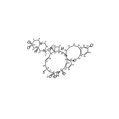 CO[C@]1(CN2CCN3CCS(=O)(=O)C[C@H]3C2)/C=C/C[C@H](C)[C@@H](C)S(=O)(=O)NC(=O)c2ccc3c(c2)N(CCCCc2cc(Cl)ccc2CO3)C[C@@H]2CC[C@H]21